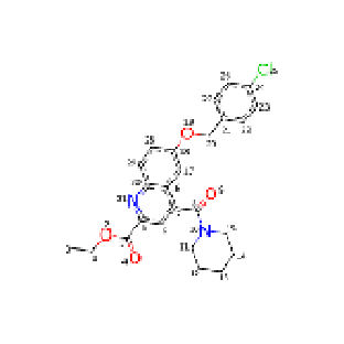 CCOC(=O)c1cc(C(=O)N2CCCCC2)c2cc(OCc3ccc(Cl)cc3)ccc2n1